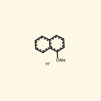 COc1cccc2ccccc12.[H+]